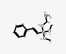 CO[Si](C=Cc1ccccc1)(OC)OCN